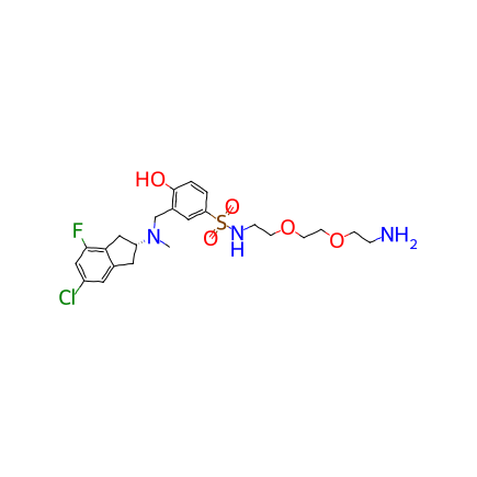 CN(Cc1cc(S(=O)(=O)NCCOCCOCCN)ccc1O)[C@@H]1Cc2cc(Cl)cc(F)c2C1